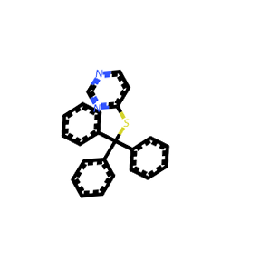 c1ccc(C(Sc2ccncn2)(c2ccccc2)c2ccccc2)cc1